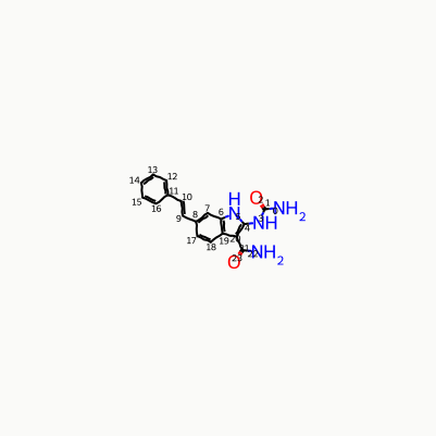 NC(=O)Nc1[nH]c2cc(C=Cc3ccccc3)ccc2c1C(N)=O